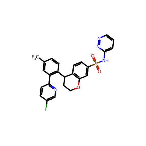 O=S(=O)(Nc1cccnn1)c1ccc2c(c1)OCCC2c1ccc(C(F)(F)F)cc1-c1ccc(F)cn1